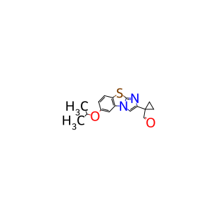 CC(C)Oc1ccc2sc3nc(C4(C=O)CC4)cn3c2c1